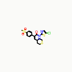 CS(=O)(=O)c1ccc(C(=CC2CCSCC2)C(=O)Nc2ncc(Cl)s2)cc1